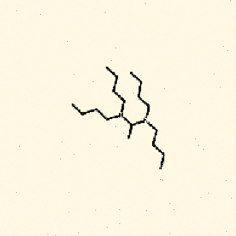 CCCCN(CCCC)[C](C)N(CCCC)CCCC